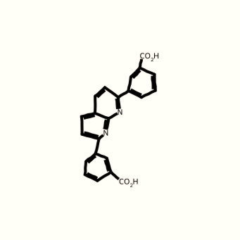 O=C(O)c1cccc(-c2ccc3ccc(-c4cccc(C(=O)O)c4)nc3n2)c1